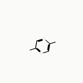 [CH2]CCCCc1cnc(CC)cn1